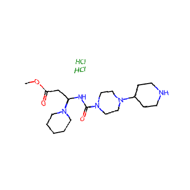 COC(=O)CC(NC(=O)N1CCN(C2CCNCC2)CC1)N1CCCCC1.Cl.Cl